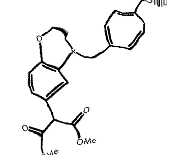 COC(=O)C(C(=O)OC)c1ccc2c(c1)N(Cc1ccc(OC)cc1)CCO2